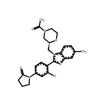 CC(=O)N1CCO[C@@H](Cn2c(-c3ccc(N4CCCC4=O)cc3Cl)nc3cc(C)ccc32)C1